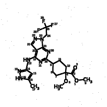 COC(=O)C1(OC)CCC(c2nc(Nc3cc(C)[nH]n3)c3cnn(CC(F)(F)F)c3n2)CC1